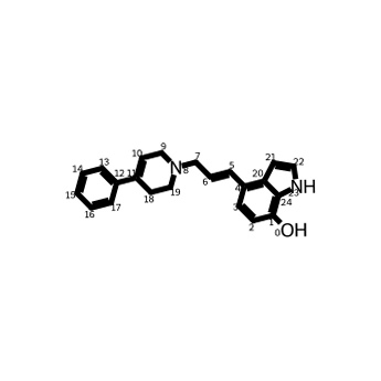 Oc1ccc(C=CCN2CC=C(c3ccccc3)CC2)c2cc[nH]c12